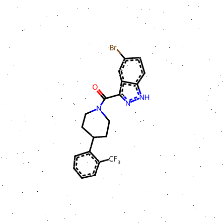 O=C(c1n[nH]c2ccc(Br)cc12)N1CCC(c2ccccc2C(F)(F)F)CC1